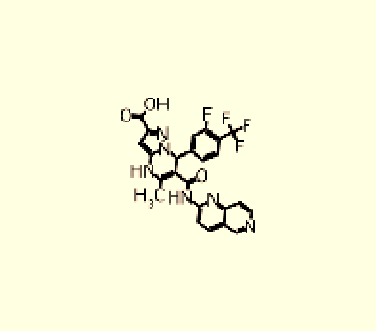 CC1=C(C(=O)Nc2ccc3cnccc3n2)C(c2ccc(C(F)(F)F)c(F)c2)n2nc(C(=O)O)cc2N1